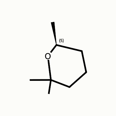 C[C@H]1CCCC(C)(C)O1